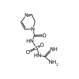 N=C(N)NS(=O)(=O)NC(=O)N1C=CN=CC1